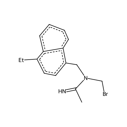 CCc1ccc(CN(CBr)C(C)=N)c2ccccc12